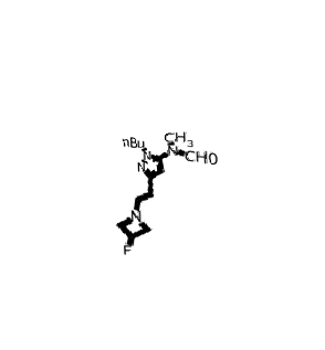 CCCCn1nc(CCN2CC(F)C2)cc1N(C)C=O